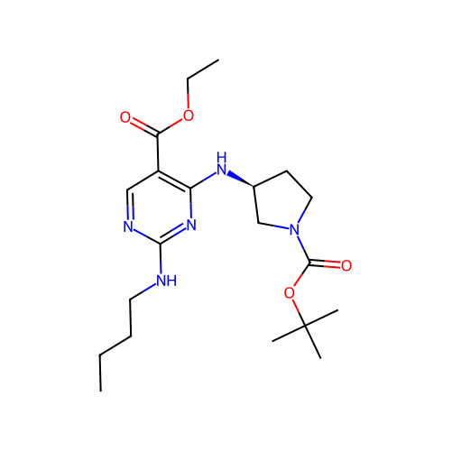 CCCCNc1ncc(C(=O)OCC)c(N[C@H]2CCN(C(=O)OC(C)(C)C)C2)n1